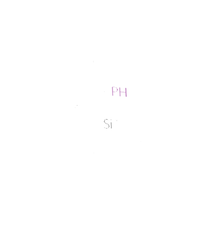 CP[Si](C)(C)C